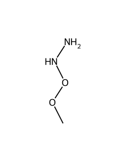 COONN